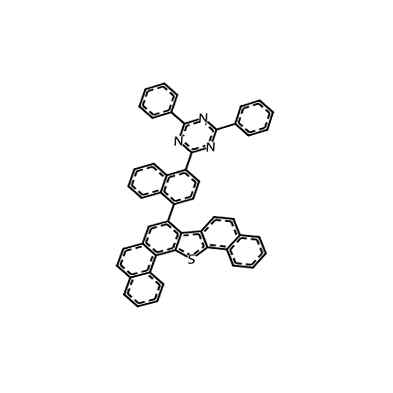 c1ccc(-c2nc(-c3ccccc3)nc(-c3ccc(-c4cc5ccc6ccccc6c5c5sc6c7ccccc7ccc6c45)c4ccccc34)n2)cc1